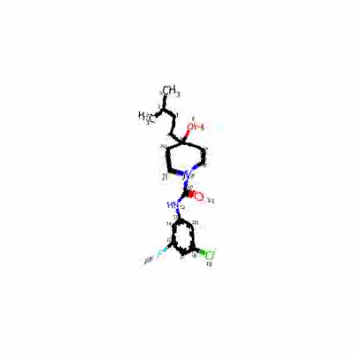 CC(C)CCC1(O)CCN(C(=O)Nc2cc(F)cc(Cl)c2)CC1